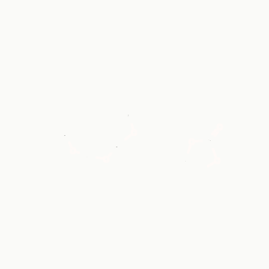 C[Si](C)(C)O[Si](C)(C)O[Si](C)(CCCC1COC(=O)O1)O[Si](C)(C)C